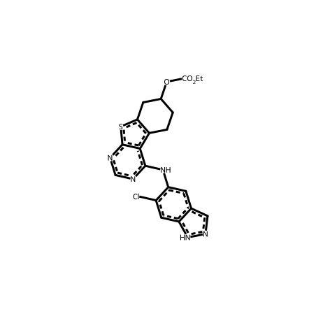 CCOC(=O)OC1CCc2c(sc3ncnc(Nc4cc5cn[nH]c5cc4Cl)c23)C1